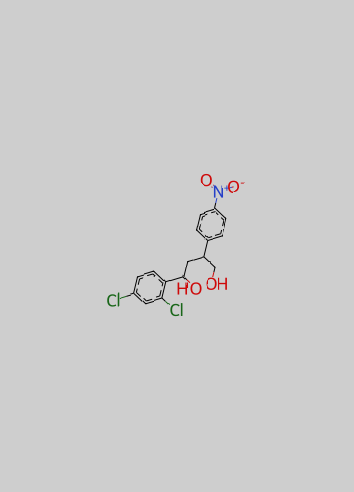 O=[N+]([O-])c1ccc(C(CO)CC(O)c2ccc(Cl)cc2Cl)cc1